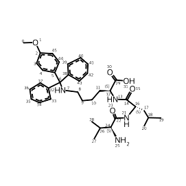 COc1ccc(C(NCCCC[C@H](NC(=O)[C@H](CC(C)C)NC(=O)[C@@H](N)C(C)C)C(=O)O)(c2ccccc2)c2ccccc2)cc1